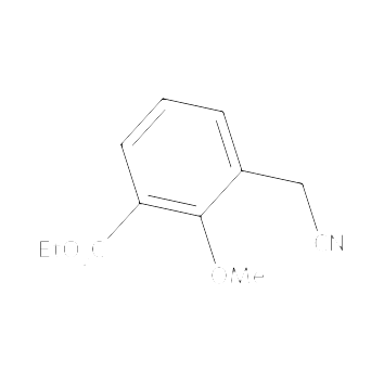 CCOC(=O)c1cccc(CC#N)c1OC